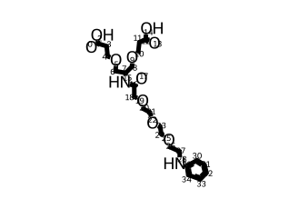 O=C(O)CCOCC(COCCC(=O)O)NC(=O)COCCOCCOCCNc1ccccc1